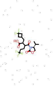 CC(C)[C@H]1COC(=O)N1C(=O)C(CCC(F)(F)F)C(CC1CC(F)(F)C1)C(=O)O